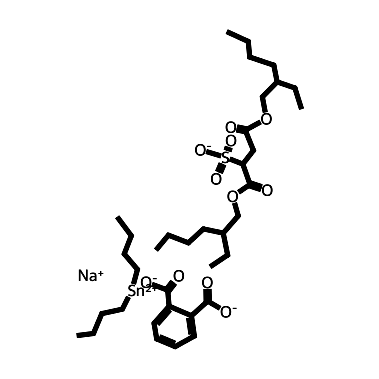 CCCCC(CC)COC(=O)CC(C(=O)OCC(CC)CCCC)S(=O)(=O)[O-].CCC[CH2][Sn+2][CH2]CCC.O=C([O-])c1ccccc1C(=O)[O-].[Na+]